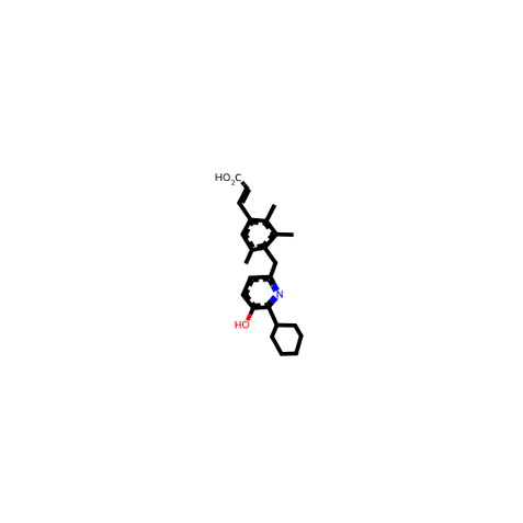 Cc1cc(/C=C/C(=O)O)c(C)c(C)c1Cc1ccc(O)c(C2CCCCC2)n1